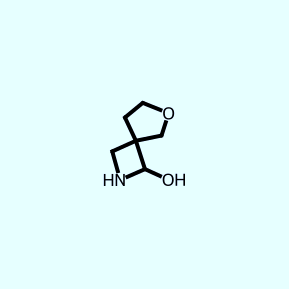 OC1NCC12CCOC2